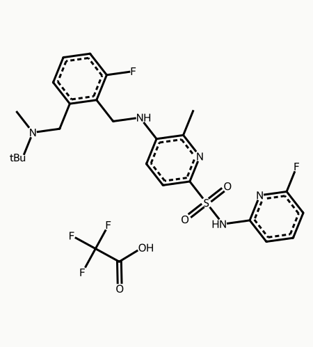 Cc1nc(S(=O)(=O)Nc2cccc(F)n2)ccc1NCc1c(F)cccc1CN(C)C(C)(C)C.O=C(O)C(F)(F)F